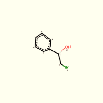 O[C@H](CBr)c1cc[c]cc1